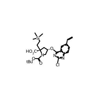 C=Cc1ccc2nc(Cl)nc(O[C@@H]3CN(C(=O)OC(C)(C)C)[C@@](CC[Si](C)(C)C)(C(=O)O)C3)c2c1